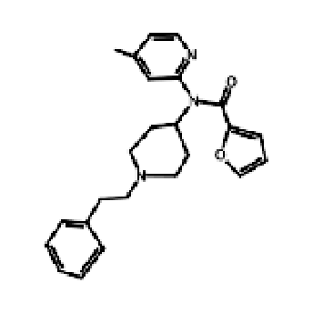 Cc1ccnc(N(C(=O)c2ccco2)C2CCN(CCc3ccccc3)CC2)c1